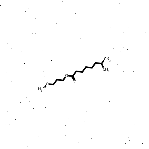 COCCCOC(=O)CCCCCC(C)C